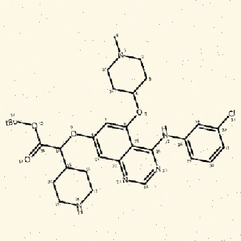 CN1CCC(Oc2cc(OC(C(=O)OC(C)(C)C)C3CCNCC3)cc3ncnc(Nc4cccc(Cl)c4)c23)CC1